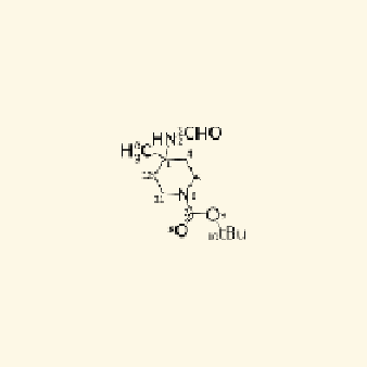 CC1(NC=O)CCN(C(=O)OC(C)(C)C)CC1